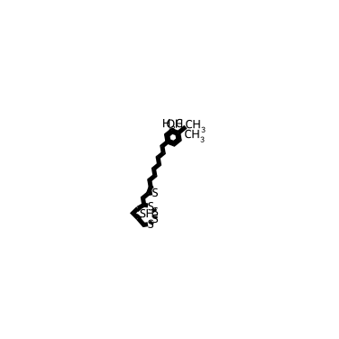 CC(C)(C)c1ccc(CCCCCCCC2SC2CC2SSSSCC3=[SH]C2C3)cc1O